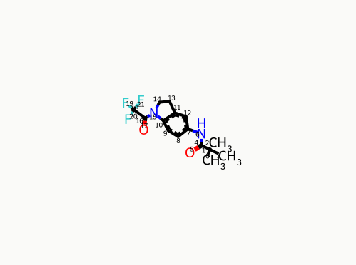 CC(C)(C)C(=O)Nc1ccc2c(c1)CCN2C(=O)C(F)(F)F